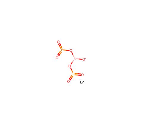 O=P(=O)OB([O-])OP(=O)=O.[Li+]